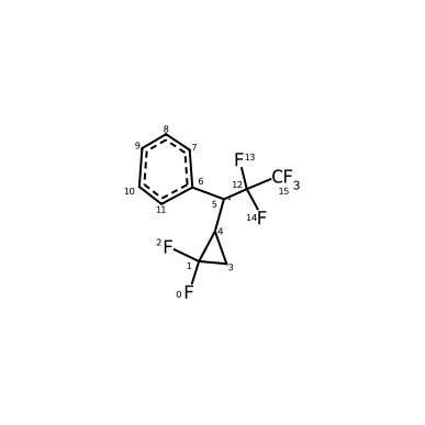 FC1(F)CC1[C](c1ccccc1)C(F)(F)C(F)(F)F